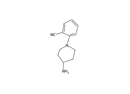 N#Cc1ccccc1N1CCC(N)CC1